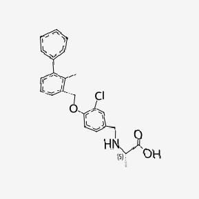 Cc1c(COc2ccc(CN[C@@H](C)C(=O)O)cc2Cl)cccc1-c1ccccc1